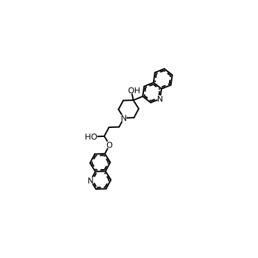 OC(CCN1CCC(O)(c2cnc3ccccc3c2)CC1)Oc1ccc2ncccc2c1